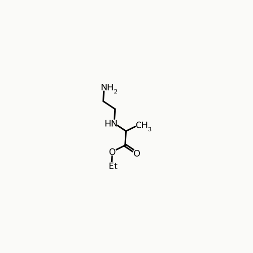 CCOC(=O)C(C)NCCN